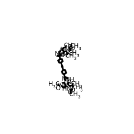 CCCN(Cc1ncc(-c2ccc(C#Cc3ccc(-c4c[nH]c([C@@H]5CN(C(C)=O)CCN5C(=O)[C@@H](NC(=O)OC)C(C)C)n4)cc3)cc2)[nH]1)C(=O)[C@@H](NC(=O)OC)C(C)C